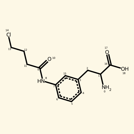 NC(Cc1cccc(NC(=O)CCCCl)c1)C(=O)O